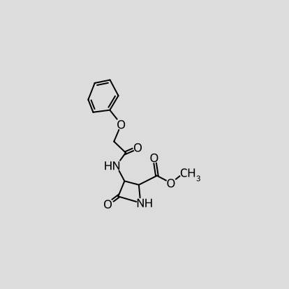 COC(=O)C1NC(=O)C1NC(=O)COc1ccccc1